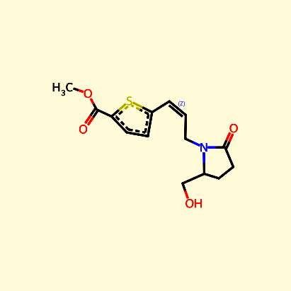 COC(=O)c1ccc(/C=C\CN2C(=O)CCC2CO)s1